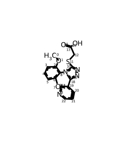 COc1cccc(O)c1-n1c(SCC(=O)O)nnc1-c1c#ccnc1